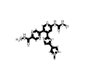 CCNC(=O)Nc1cc(-c2nc(-c3cnn(C)c3)cs2)c(-c2cnc(C(=O)NN)cn2)cn1